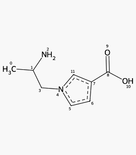 CC(N)Cn1ccc(C(=O)O)c1